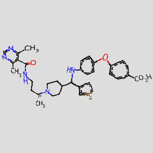 Cc1ncnc(C)c1C(=O)NCC[C@@H](C)N1CCC(C(Nc2ccc(Oc3ccc(C(=O)O)cc3)cc2)c2ccsc2)CC1